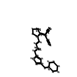 N#CC(C#N)=C1NCCN1CCNCc1cc(CN2CCCCC2)co1